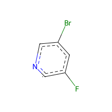 Fc1[c]ncc(Br)c1